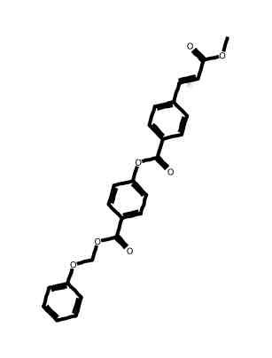 COC(=O)/C=C/c1ccc(C(=O)Oc2ccc(C(=O)OCOc3ccccc3)cc2)cc1